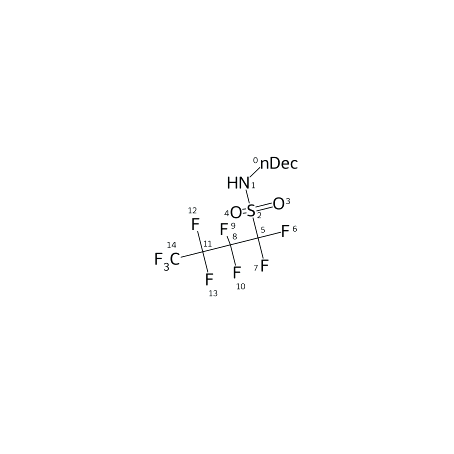 CCCCCCCCCCNS(=O)(=O)C(F)(F)C(F)(F)C(F)(F)C(F)(F)F